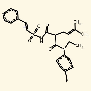 CCN(C(=O)C(CC=C(C)C)C(=O)NS(=O)(=O)/C=C/c1ccccc1)c1ccc(F)cc1